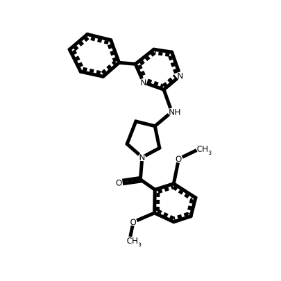 COc1cccc(OC)c1C(=O)N1CCC(Nc2nccc(-c3ccccc3)n2)C1